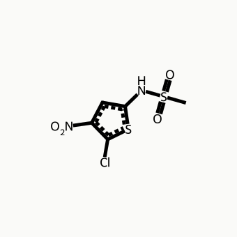 CS(=O)(=O)Nc1cc([N+](=O)[O-])c(Cl)s1